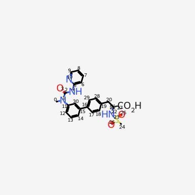 CN(C(=O)Nc1ccccn1)c1cccc(-c2ccc(C[C@H](NS(C)(=O)=O)C(=O)O)cc2)c1